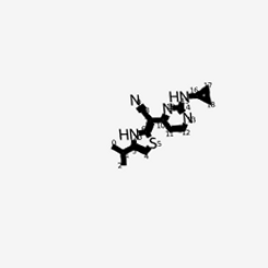 CC(C)C1=CSC(=C(C#N)c2ccnc(NC3CC3)n2)N1